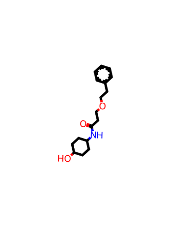 O=C(CCOCCc1ccccc1)NC1CCC(O)CC1